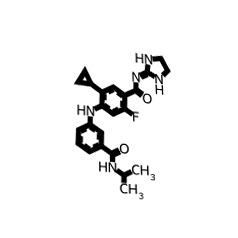 CC(C)NC(=O)c1cccc(Nc2cc(F)c(C(=O)N=C3NCCN3)cc2C2CC2)c1